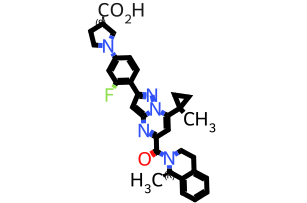 C[C@@H]1c2ccccc2CCN1C(=O)c1cc(C2(C)CC2)n2nc(-c3ccc(N4CC[C@H](C(=O)O)C4)cc3F)cc2n1